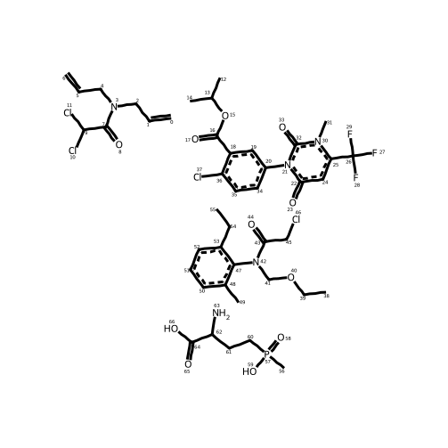 C=CCN(CC=C)C(=O)C(Cl)Cl.CC(C)OC(=O)c1cc(-n2c(=O)cc(C(F)(F)F)n(C)c2=O)ccc1Cl.CCOCN(C(=O)CCl)c1c(C)cccc1CC.CP(=O)(O)CCC(N)C(=O)O